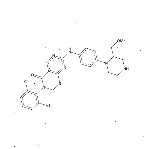 COCC1CNCCN1c1ccc(Nc2ncc3c(n2)SCN(c2c(Cl)cccc2Cl)C3=O)cc1